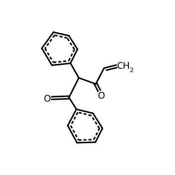 C=CC(=O)C(C(=O)c1ccccc1)c1ccccc1